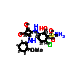 COc1ccccc1Nc1c(Nc2ccc(Cl)c(S(N)(=O)=O)c2O)c(=O)c1=O